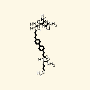 N=C(NCCCCc1ccc(-c2ccc(CCC(=O)N[C@H](CCCCN)C(N)=O)cc2)cc1)NC(=O)c1nc(Cl)c(N)nc1N